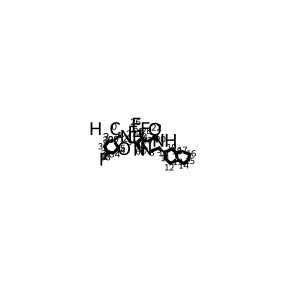 C[C@@H](NC(=O)c1nn2cc(-c3ccc4ccccc4c3)[nH]c(=O)c2c1C(F)(F)F)c1ccc(F)cc1